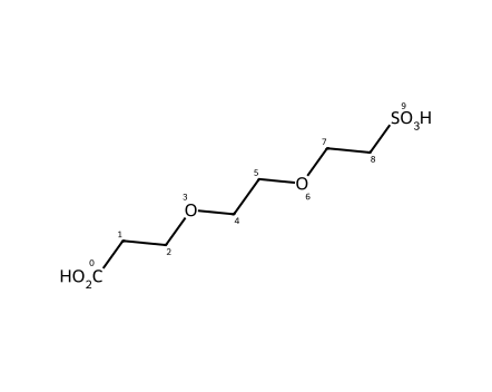 O=C(O)CCOCCOCCS(=O)(=O)O